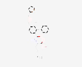 COC(=O)C(CCSC)NC(=O)c1ccc(COCc2cccs2)cc1-c1ccccc1C